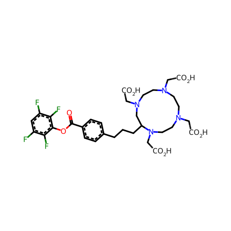 O=C(O)CN1CCN(CC(=O)O)CCN(CC(=O)O)C(CCCc2ccc(C(=O)Oc3c(F)c(F)cc(F)c3F)cc2)CN(CC(=O)O)CC1